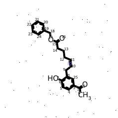 CC(=O)c1ccc(O)c(C/C=C\CCCC(=O)OCc2ccccc2)c1